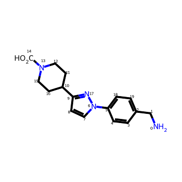 NCc1ccc(-n2ccc(C3CCN(C(=O)O)CC3)n2)cc1